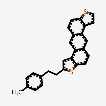 Cc1ccc(CCc2cc3c(ccc4cc5c(ccc6sccc65)cc43)s2)cc1